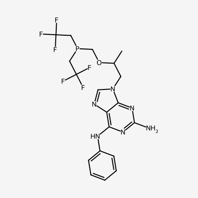 CC(Cn1cnc2c(Nc3ccccc3)nc(N)nc21)OCP(CC(F)(F)F)CC(F)(F)F